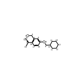 IC1=NOCc2cc(OCC3CCCCC3)ccc21